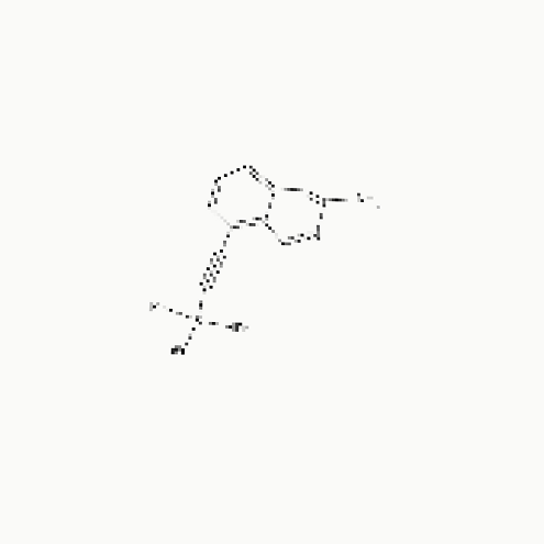 CC(C)[Si](C#Cc1cccc2cc(N)ncc12)(C(C)C)C(C)C